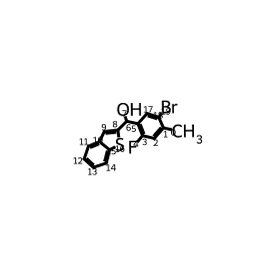 Cc1cc(F)c(C(O)c2cc3ccccc3s2)cc1Br